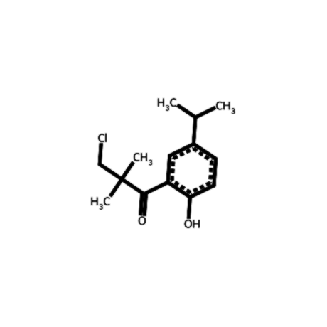 CC(C)c1ccc(O)c(C(=O)C(C)(C)CCl)c1